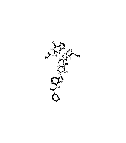 CC(C)C(=O)Nc1nc2c(ncn2[C@@H]2OC(CO)=C(F)[C@@H]2OP(O)(=S)OC[C@H]2O[C@@H](n3cnc4c(NC(=O)c5ccccc5)ncnc43)[C@@H](F)[C@@H]2O)c(=O)[nH]1